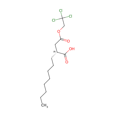 CCCCCCCC[C@H](CC(=O)OCC(Cl)(Cl)Cl)C(=O)O